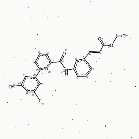 CCOC(=O)C=Cc1cccc(NC(=O)c2cccc(-c3cc(Cl)cc(Cl)c3)n2)c1